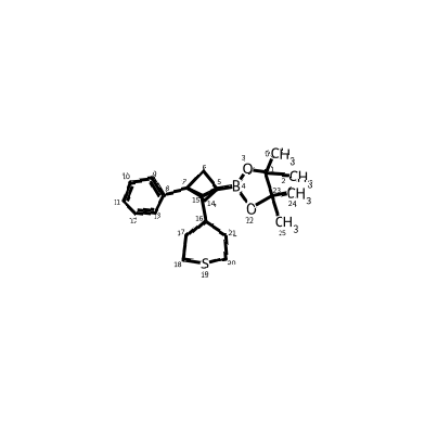 CC1(C)OB(C23CC(c4ccccc4)(C2)C3C2CCSCC2)OC1(C)C